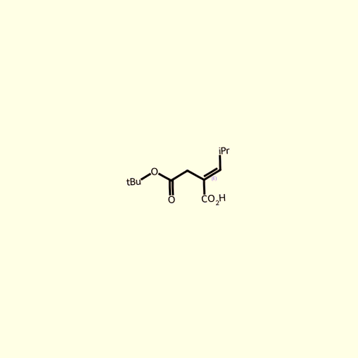 CC(C)/C=C(\CC(=O)OC(C)(C)C)C(=O)O